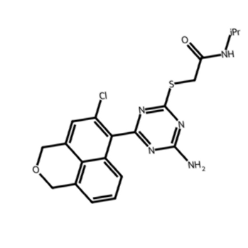 CC(C)NC(=O)CSc1nc(N)nc(-c2c(Cl)cc3c4c(cccc24)COC3)n1